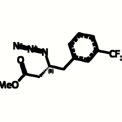 COC(=O)C[C@@H](Cc1cccc(C(F)(F)F)c1)N=[N+]=[N-]